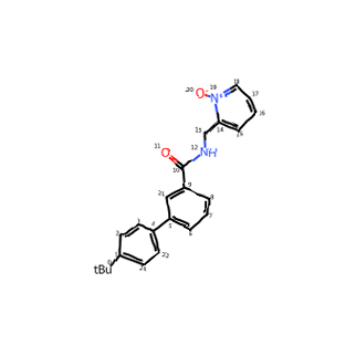 CC(C)(C)c1ccc(-c2cccc(C(=O)NCc3cccc[n+]3[O-])c2)cc1